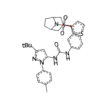 Cc1ccc(-n2nc(C(C)(C)C)cc2NC(=O)Nc2cccc(CC3CC4CCC(C3)N4S(=O)(=O)c3ccsc3)c2)cc1